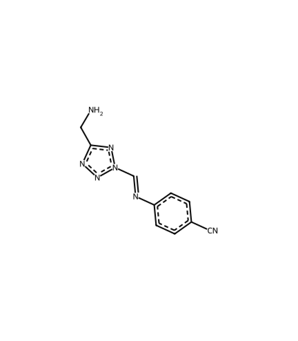 N#Cc1ccc(N=Cn2nnc(CN)n2)cc1